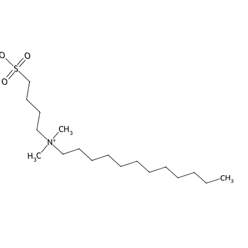 CCCCCCCCCCCC[N+](C)(C)CCCCS(=O)(=O)O